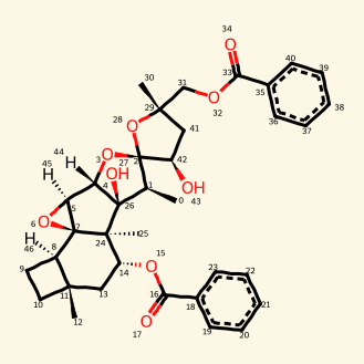 C[C@@H]1[C@]2(O[C@H]3[C@@H]4O[C@@]45[C@@H]4CC[C@@]4(C)C[C@@H](OC(=O)c4ccccc4)[C@]5(C)[C@@]13O)O[C@](C)(COC(=O)c1ccccc1)C[C@H]2O